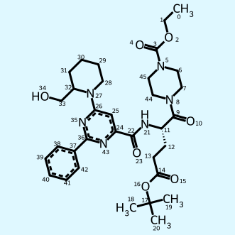 CCOC(=O)N1CCN(C(=O)[C@H](CCC(=O)OC(C)(C)C)NC(=O)c2cc(N3CCCCC3CO)nc(-c3ccccc3)n2)CC1